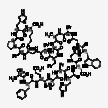 CC(C)C[C@H](NC(=O)[C@@H](NC(=O)[C@H](C)NC(=O)[C@@H](NC(=O)CNC(=O)[C@H](Cc1c[nH]c2ccccc12)NC(=O)CNC(=O)[C@H](CC(=O)O)NC(=O)[C@H](Cc1c[nH]cn1)NC(=O)[C@@H](NC(=O)[C@H](CS)NC(=O)[C@H](CCC(=O)O)NC(=O)[C@H](Cc1ccccc1)NC(=O)[C@H](C)N)C(C)C)C(C)C)C(C)C)C(=O)N[C@H](C(=O)NCC(=O)N[C@H](C(=O)N1CCC[C@H]1C(=O)N[C@@H](Cc1c[nH]cn1)C(=O)N[C@@H](CCCCN)C(=O)O)C(C)C)C(C)C